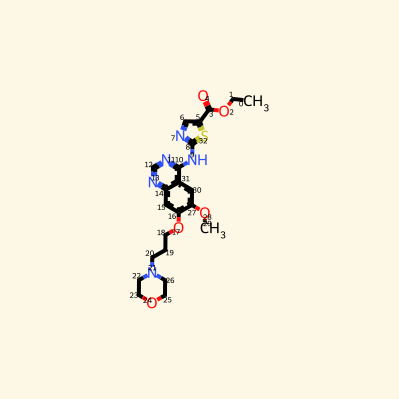 CCOC(=O)c1cnc(Nc2ncnc3cc(OCCCN4CCOCC4)c(OC)cc23)s1